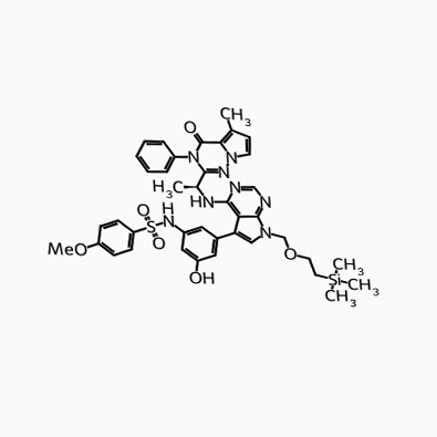 COc1ccc(S(=O)(=O)Nc2cc(O)cc(-c3cn(COCC[Si](C)(C)C)c4ncnc(N[C@@H](C)c5nn6ccc(C)c6c(=O)n5-c5ccccc5)c34)c2)cc1